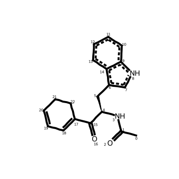 CC(=O)N[C@H](Cc1c[nH]c2ccccc12)C(=O)C1=CC=CC[CH]1